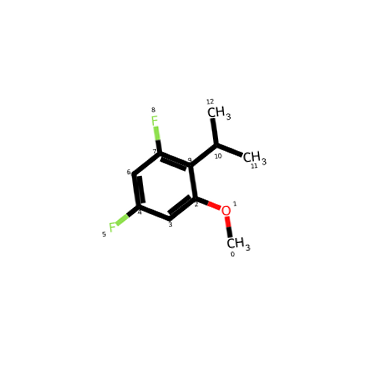 COc1cc(F)cc(F)c1C(C)C